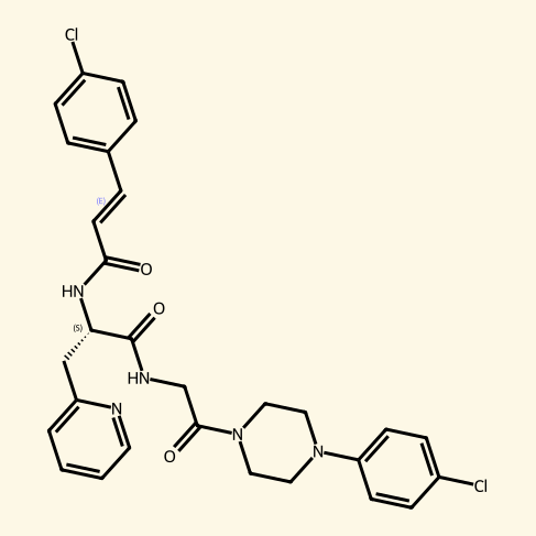 O=C(/C=C/c1ccc(Cl)cc1)N[C@@H](Cc1ccccn1)C(=O)NCC(=O)N1CCN(c2ccc(Cl)cc2)CC1